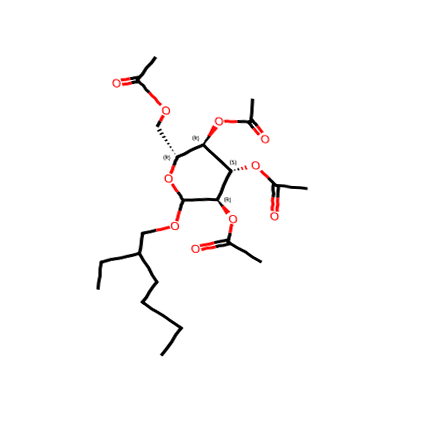 CCCCC(CC)COC1O[C@H](COC(C)=O)[C@@H](OC(C)=O)[C@H](OC(C)=O)[C@H]1OC(C)=O